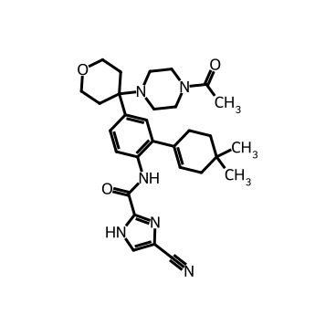 CC(=O)N1CCN(C2(c3ccc(NC(=O)c4nc(C#N)c[nH]4)c(C4=CCC(C)(C)CC4)c3)CCOCC2)CC1